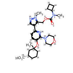 CN(C(=O)OCc1c(-c2ccc(O[C@]3(C)CCC[C@H](C(=O)O)C3)c(N3CCOCC3)n2)cnn1C)C1CCC1